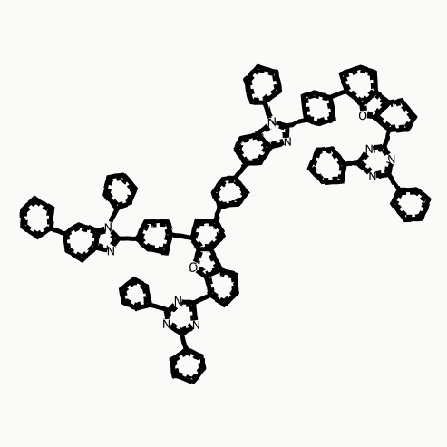 c1ccc(-c2ccc3nc(-c4ccc(-c5cc(-c6ccc(-c7ccc8c(c7)nc(-c7ccc(-c9cccc%10c9oc9c(-c%11nc(-c%12ccccc%12)nc(-c%12ccccc%12)n%11)cccc9%10)cc7)n8-c7ccccc7)cc6)cc6c5oc5c(-c7nc(-c8ccccc8)nc(-c8ccccc8)n7)cccc56)cc4)n(-c4ccccc4)c3c2)cc1